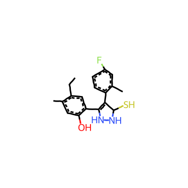 CCc1cc(C2=C(c3ccc(F)cc3C)C(S)NN2)c(O)cc1C